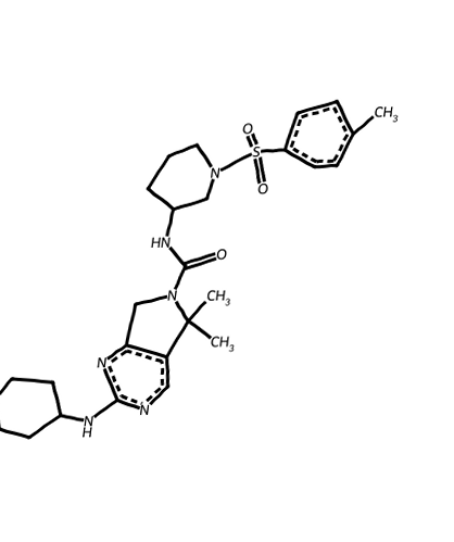 Cc1ccc(S(=O)(=O)N2CCCC(NC(=O)N3Cc4nc(NC5CCOCC5)ncc4C3(C)C)C2)cc1